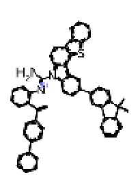 C=C(c1ccc(-c2ccccc2)cc1)c1ccccc1/N=C(\N)n1c2ccc(-c3ccc4c(c3)-c3ccccc3C4(C)C)cc2c2c3sc4ccccc4c3ccc21